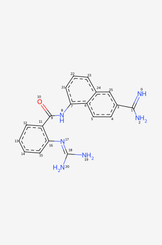 N=C(N)c1ccc2c(NC(=O)c3ccccc3N=C(N)N)cccc2c1